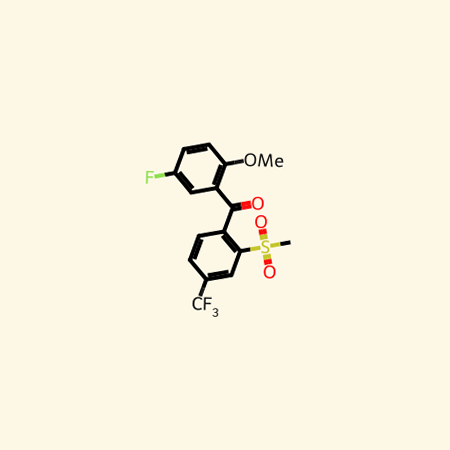 COc1ccc(F)cc1C(=O)c1ccc(C(F)(F)F)cc1S(C)(=O)=O